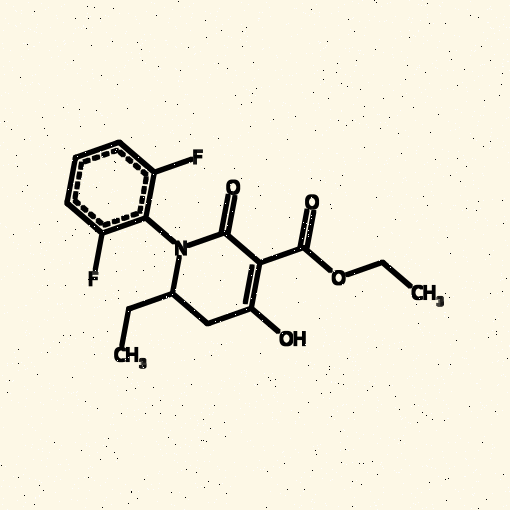 CCOC(=O)C1=C(O)CC(CC)N(c2c(F)cccc2F)C1=O